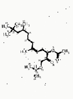 CC(=O)OC(CC=C(C)CCCC(C)CC(C)(C)C)C(=O)CO[SiH](C)C